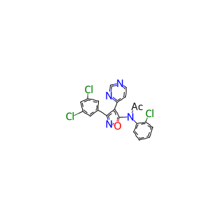 CC(=O)N(c1ccccc1Cl)c1onc(-c2cc(Cl)cc(Cl)c2)c1-c1ccncn1